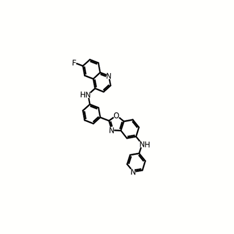 Fc1ccc2nccc(Nc3cccc(-c4nc5cc(Nc6ccncc6)ccc5o4)c3)c2c1